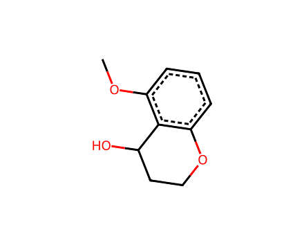 COc1cccc2c1C(O)CCO2